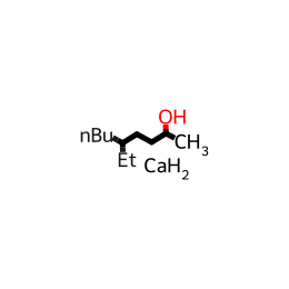 CCCCC(CC)CCC(C)O.[CaH2]